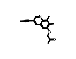 CC#Cc1cnc2c(C)c(C)c(OCC(C)=O)cc2c1